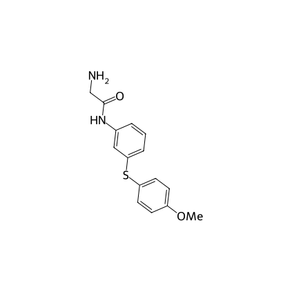 COc1ccc(Sc2cccc(NC(=O)CN)c2)cc1